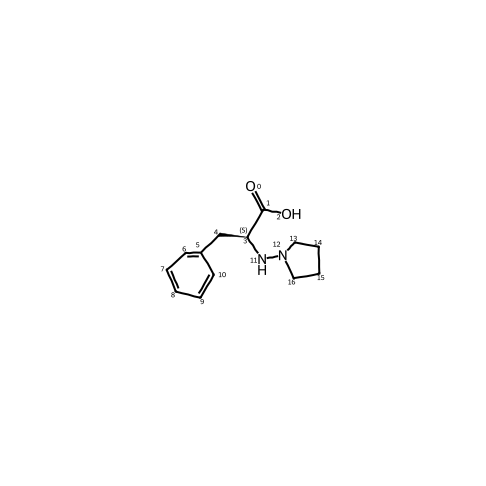 O=C(O)[C@H](Cc1ccccc1)NN1CCCC1